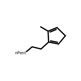 CCCCCCCC1=[C]CC=C1C